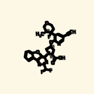 C#Cc1cnc(O[C@H]2C[C@@H](C(=O)O)N(c3nc(C(F)F)nc4c3oc3ccccc34)C2)c([C@@]2(F)CCOC[C@@H]2C)c1